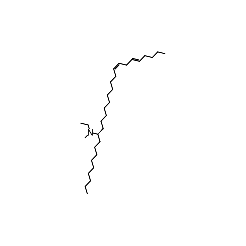 CCCC/C=C/C/C=C\CCCCCCCCC[C@@H](CCCCCCCCC)N(C)CC